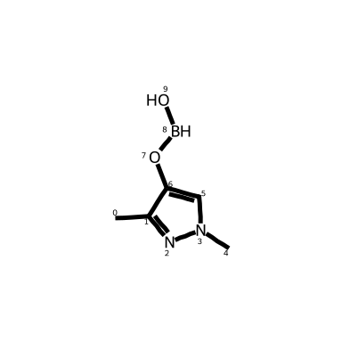 Cc1nn(C)cc1OBO